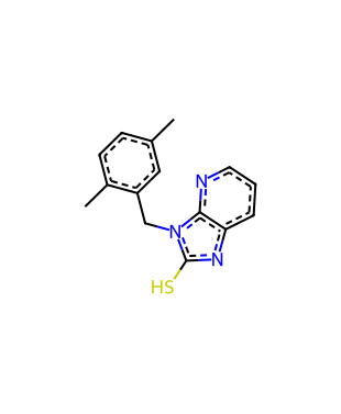 Cc1ccc(C)c(Cn2c(S)nc3cccnc32)c1